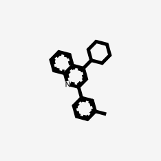 Cc1cccc(-c2cc(C3CCCCC3)c3ccccc3n2)c1